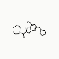 CC(C)c1cc(CC2CCCC2)nc2cc(C(=O)N3CCCCCCC3)nn12